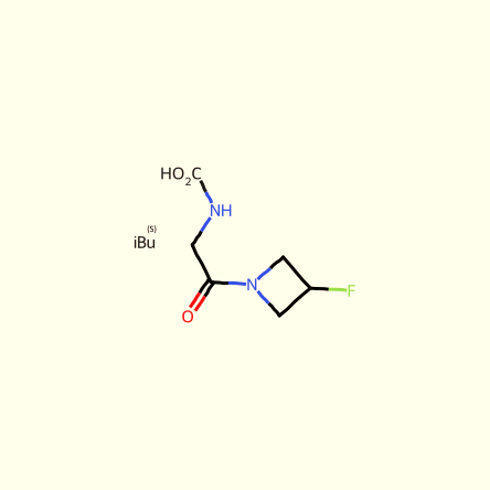 CC[C@H](C)C(NC(=O)O)C(=O)N1CC(F)C1